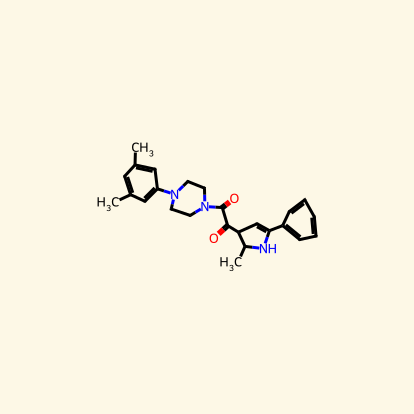 Cc1cc(C)cc(N2CCN(C(=O)C(=O)C3C=C(c4ccccc4)NC3C)CC2)c1